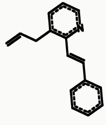 C=CCc1cccnc1C=Cc1ccccc1